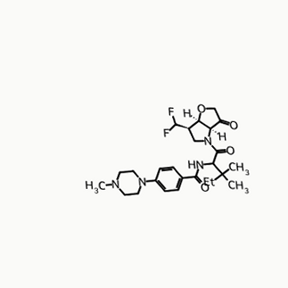 CCC(C)(C)C(NC(=O)c1ccc(N2CCN(C)CC2)cc1)C(=O)N1C[C@@H](C(F)F)[C@H]2OCC(=O)[C@H]21